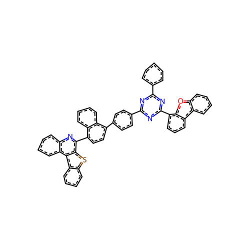 c1ccc(-c2nc(-c3ccc(-c4ccc(-c5nc6ccccc6c6c5sc5ccccc56)c5ccccc45)cc3)nc(-c3cccc4c3oc3ccccc34)n2)cc1